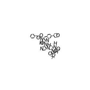 COC(=O)N[C@H]1[C@@H](C)CN(c2ccncc2NC(=O)c2nc3cc(C4=CCOCC4)ccc3cc2NC(=O)OCc2ccccc2)C[C@H]1NC(=O)OC(C)(C)C